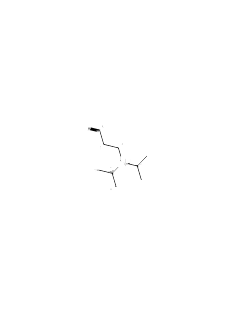 CC(C)N(CCC=O)C(C)C